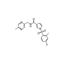 Cc1cnc(CNC(=O)c2ccn(S(=O)(=O)c3ccc(F)cc3C)c2)cn1